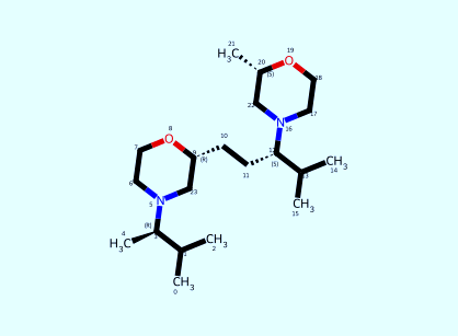 CC(C)[C@@H](C)N1CCO[C@H](CC[C@@H](C(C)C)N2CCO[C@@H](C)C2)C1